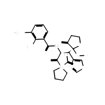 CCO[C@@]1(NC(=O)[N+]2(C(=O)[C@H](Cc3cscn3)NC(=O)c3cccc(OC)c3C)CCCC2)OCCC1=O